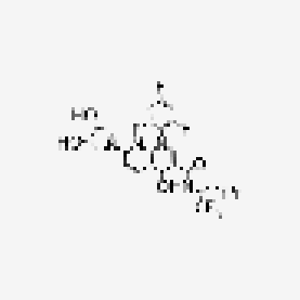 CC(C)C[C@H](NC(=O)c1cn(-c2c(F)cc(F)cc2F)c2nc(N3C[C@@H](O)[C@H](O)C3)ccc2c1=O)C(F)(F)F